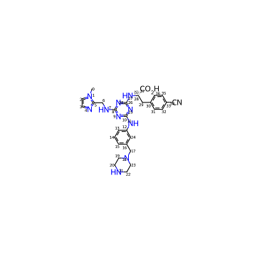 Cn1ccnc1CNc1nc(Nc2cccc(CN3CCNCC3)c2)nc(N[C@@H](Cc2ccc(C#N)cc2)C(=O)O)n1